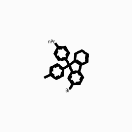 CCCc1ccc(C2(c3ccc(C)cc3)C3=C(C=CCC3)c3ccc(Br)cc32)cc1